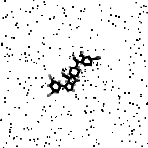 O=C(c1ccc(Cl)cc1F)N1CCC2(CC1)OC1CCC(c3cc(F)cc(F)c3)N1C2=O